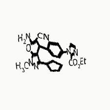 CCOC(=O)c1nccn1-c1ccc(C2C(C#N)=C(N)Oc3c2c(C2CCCC2)nn3C)cc1